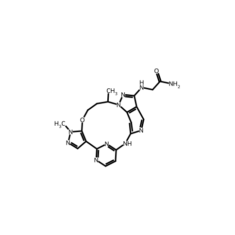 CC1CCOc2c(cnn2C)-c2nccc(n2)Nc2cc3c(cn2)c(NCC(N)=O)nn31